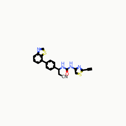 C#Cc1nc(NC(=O)NC(CC#N)c2ccc(-c3cccc4ncsc34)cc2)cs1